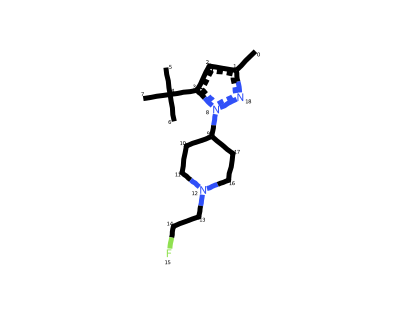 Cc1cc(C(C)(C)C)n(C2CCN(CCF)CC2)n1